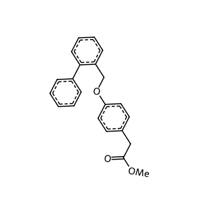 COC(=O)Cc1ccc(OCc2ccccc2-c2ccccc2)cc1